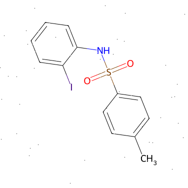 Cc1ccc(S(=O)(=O)Nc2ccccc2I)cc1